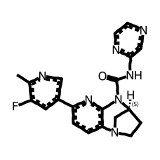 Cc1ncc(-c2ccc3c(n2)N(C(=O)Nc2cnccn2)[C@H]2CCN3C2)cc1F